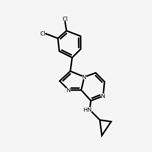 Clc1ccc(-c2cnc3c(NC4CC4)nccn23)cc1Cl